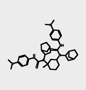 CN(C)c1ccc(NC(=O)N(C2CCCC(C)(N(C(=O)Nc3ccc(N(C)C)cc3)C3CC4CCC3C4)C2)C2CC3CCC2C3)cc1